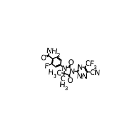 CC1(C)C(=O)N(c2nnc(C#N)c(C(F)(F)F)n2)C(=O)N1c1ccc(C(N)=O)c(F)c1